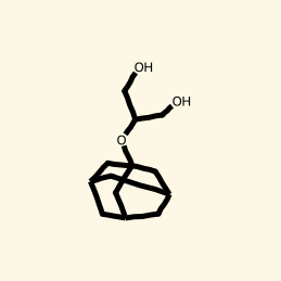 OCC(CO)OC12CC3CC(CC(C3)C1)C2